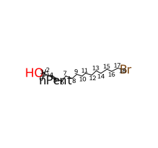 CCCCC[C@](C)(O)C#CCCCCCCCCCCCCBr